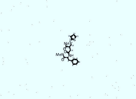 CNC(=O)C(Cc1ccccc1)NC(=O)CC(CSc1cccs1)C(N)=O